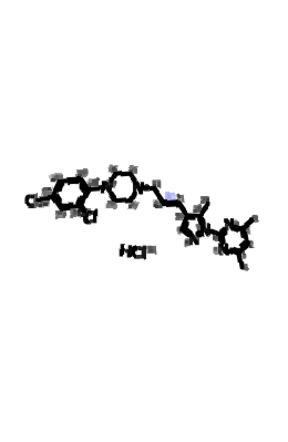 Cc1cc(C)nc(-n2ncc(/C=C/CN3CCN(c4ccc(Cl)cc4Cl)CC3)c2C)n1.Cl